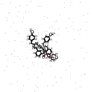 COc1ccc(CN(Cc2ccc(OC)cc2)S(=O)(=O)c2c(-c3nnn(Cc4ccc(OC)cc4)n3)cccc2S(=O)(=O)CCN2CCOCC2)cc1